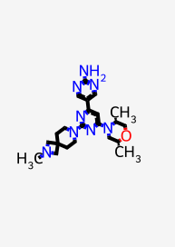 C[C@H]1CN(c2cc(-c3cnc(N)nc3)nc(N3CCC4(CC3)CN(C)C4)n2)[C@@H](C)CO1